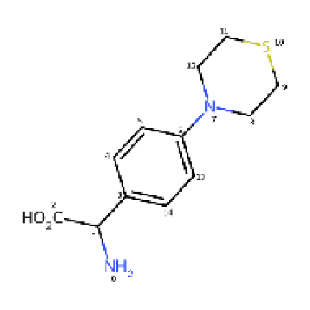 NC(C(=O)O)c1ccc(N2CCSCC2)cc1